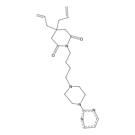 C=CCC1(CC=C)CC(=O)N(CCCCN2CCN(c3ncccn3)CC2)C(=O)C1